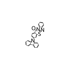 O=c1c2ccc(-n3c4ccccc4c4ccccc43)cc2sc2nc3ccccc3n12